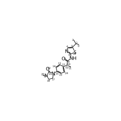 CC(C)c1cnc(NC(=O)[C@@H](C)c2ccc(N3CCN(C)C3=O)cc2)s1